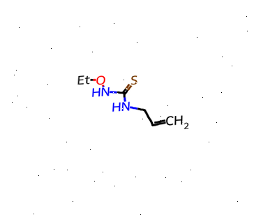 C=CCNC(=S)NOCC